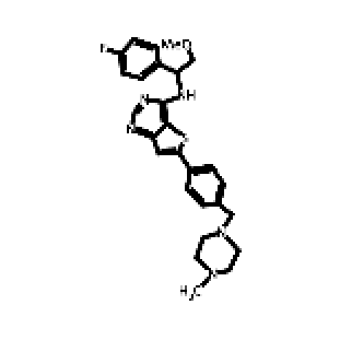 COCC(Nc1ncnc2cc(-c3ccc(CN4CCN(C)CC4)cc3)sc12)c1ccc(F)cc1